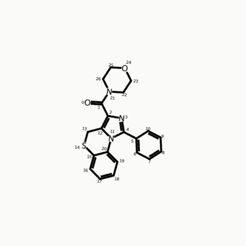 O=C(c1nc(-c2ccccc2)n2c1CSc1ccccc1-2)N1CCOCC1